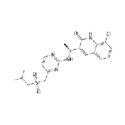 CC(C)CS(=O)(=O)Cc1ccnc(N[C@@H](C)c2cc3cccc(Cl)c3[nH]c2=O)n1